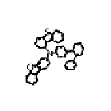 c1ccc(-c2ccccc2-c2ccc(N(c3ccc4c(c3)oc3ccccc34)c3cccc4sc5ccccc5c34)cc2)cc1